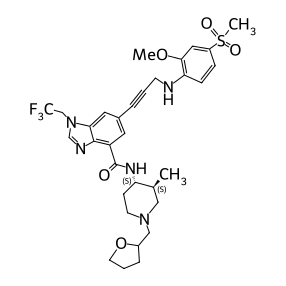 COc1cc(S(C)(=O)=O)ccc1NCC#Cc1cc(C(=O)N[C@H]2CCN(CC3CCCO3)C[C@@H]2C)c2ncn(CC(F)(F)F)c2c1